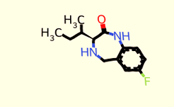 CCC(C)[C@@H]1NCc2cc(F)ccc2NC1=O